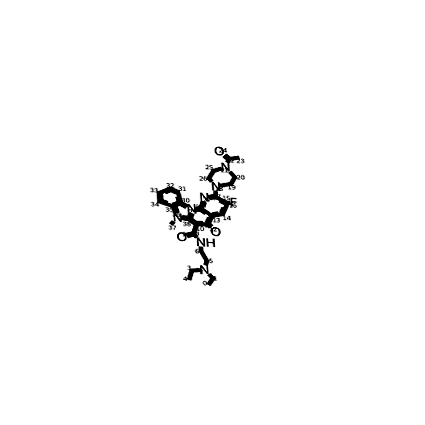 CCN(CC)CCNC(=O)c1c(=O)c2cc(F)c(N3CCN(C(C)=O)CC3)nc2n2c3ccccc3n(C)c12